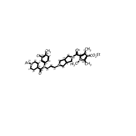 CCOC(=O)c1c(C)c(C(=O)N2CC3CN(CCCN(C(=O)C4CCN(C(C)=O)CC4)c4ccc(C)c(Cl)c4)CC3C2)n(C)c1C